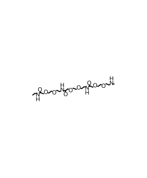 CCNC(=O)COCCOCCNC(=O)COCCOCCNC(=O)COCCOCCNC